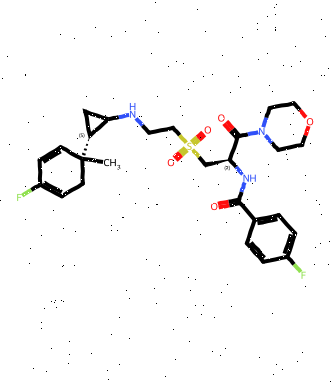 CC1([C@@H]2CC2NCCS(=O)(=O)C[C@H](NC(=O)c2ccc(F)cc2)C(=O)N2CCOCC2)C=CC(F)=CC1